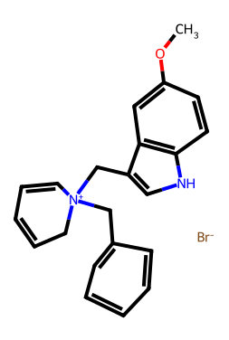 COc1ccc2[nH]cc(C[N+]3(Cc4ccccc4)C=CC=CC3)c2c1.[Br-]